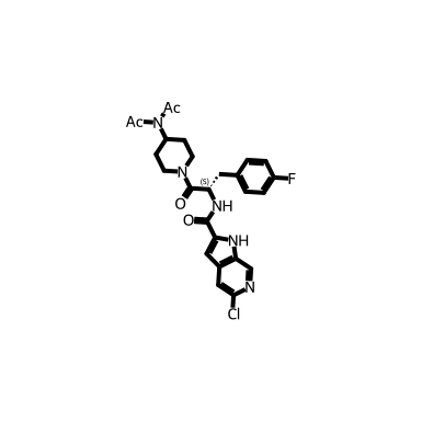 CC(=O)N(C(C)=O)C1CCN(C(=O)[C@H](Cc2ccc(F)cc2)NC(=O)c2cc3cc(Cl)ncc3[nH]2)CC1